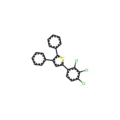 Clc1ccc(-c2cc(-c3ccccc3)c(-c3ccccc3)s2)c(Cl)c1Cl